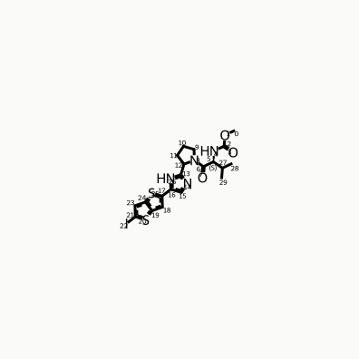 COC(=O)N[C@H](C(=O)N1CCCC1c1ncc(-c2cc3sc(I)cc3s2)[nH]1)C(C)C